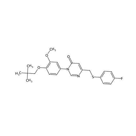 COc1cc(-n2cnc(CSc3ccc(F)cc3)cc2=O)ccc1OCC(C)(C)C